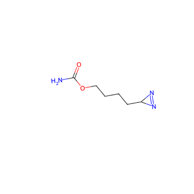 NC(=O)OCCCCC1N=N1